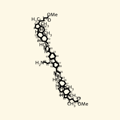 COC(=O)CC[C@@H](C)C1CC[C@H]2[C@@H]3CC[C@@H]4C[C@](O)(Cn5cc(-c6ccc7c8ccc(-c9cn(C[C@]%10(O)CCC%11(C)C%12CCC%13(C)C([C@H](C)CCC(=O)OC)C[C@H]%13[C@@H]%12CC[C@H]%11C%10)nn9)cc8n(CCN)c7c6)nn5)CCC4(C)C3CCC12C